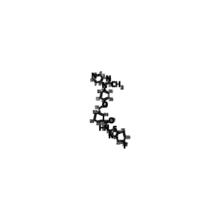 Cc1nc2cnccc2n1-c1ccc(OCc2cccc(C(=O)Nc3nc4cc(F)ccc4s3)c2)cc1